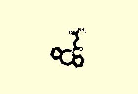 NC(=O)CCC(=O)N1Cc2ccccc2CCc2ccccc21